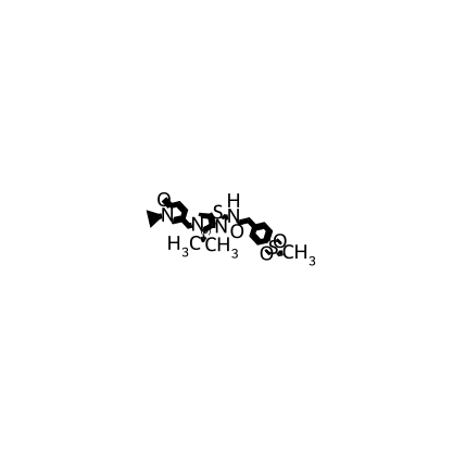 CCS(=O)(=O)c1ccc(CC(=O)Nc2nc3c(s2)CN(Cc2ccc(=O)n(C4CC4)c2)[C@H]3C(C)C)cc1